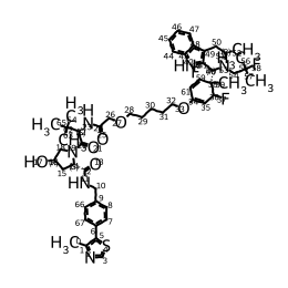 Cc1ncsc1-c1ccc(CNC(=O)[C@@H]2C[C@@H](O)CN2C(=O)[C@@H](NC(=O)COCCCCCOC2=CC(F)C(C)([C@@H]3c4[nH]c5ccccc5c4C[C@@H](C)N3CC(C)(C)F)C(F)=C2)C(C)(C)C)cc1